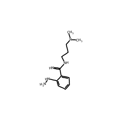 CN(C)CCCNC(=N)c1ccccc1NN